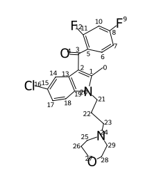 Cc1c(C(=O)c2ccc(F)cc2F)c2cc(Cl)ccc2n1CCCN1CCOCC1